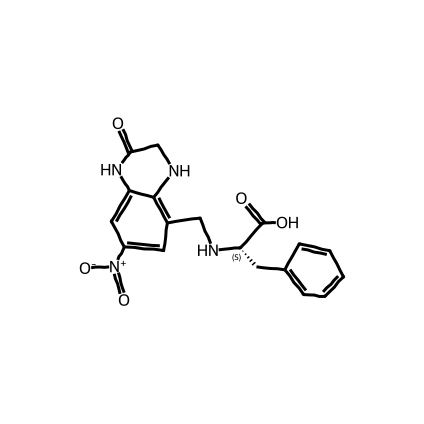 O=C1CNc2c(CN[C@@H](Cc3ccccc3)C(=O)O)cc([N+](=O)[O-])cc2N1